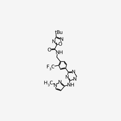 Cn1ccc(Nc2ncnc(-c3ccc(CNC(=O)c4nc(C(C)(C)C)no4)c(C(F)(F)F)c3)n2)n1